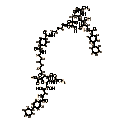 CC(=O)NC1[C@H]([C@H](O)[C@H](O)CNC(=O)c2ccc(-c3ccccc3)cc2)O[C@@](OCCCCCCNC(=O)c2ccc(C(=O)NCCSCCCO[C@]3(C(=O)O)C[C@H](O)[C@@H](NC(C)=O)[C@H]([C@H](O)[C@H](O)CNC(=O)c4ccc(-c5ccccc5)cc4)O3)cc2)(C(=O)O)C[C@@H]1O